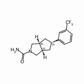 NC(=O)N1C[C@H]2C[C@H](c3cccc(C(F)(F)F)c3)C[C@H]2C1